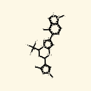 Cc1nn(C)cc1C1CC(C(F)(F)F)n2nc(-c3ccc4c(cnn4C)c3C)cc2N1